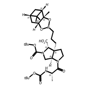 C[C@H](NC(=O)OC(C)(C)C)C(=O)N1CC[C@@]2(CCCB3O[C@@H]4C[C@@H]5C[C@@H](C5(C)C)[C@]4(C)O3)[C@@H]1CN(C(=O)OC(C)(C)C)[C@@H]2C(=O)O